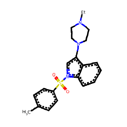 CCN1CCN(c2cn(S(=O)(=O)c3ccc(C)cc3)c3ccccc23)CC1